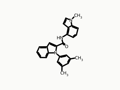 Cc1cc(C)cc(-n2c(C(=O)Nc3cccc4c3ccn4C)cc3ccccc32)c1